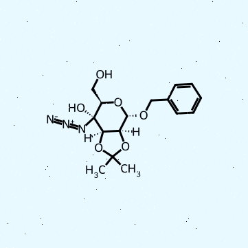 CC1(C)O[C@@H]2[C@@H](OCc3ccccc3)O[C@H](CO)[C@](O)(N=[N+]=[N-])[C@@H]2O1